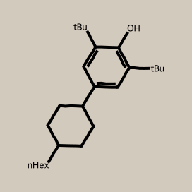 CCCCCCC1CCC(c2cc(C(C)(C)C)c(O)c(C(C)(C)C)c2)CC1